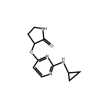 O=C1NCCC1Oc1ccnc(NC2CC2)n1